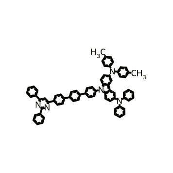 Cc1ccc(N(c2ccc(C)cc2)c2ccc3c(c2)c2cc(N(c4ccccc4)c4ccccc4)ccc2n3-c2ccc(-c3ccc(-c4ccc(-c5cc(-c6ccccc6)nc(-c6ccccc6)n5)cc4)cc3)cc2)cc1